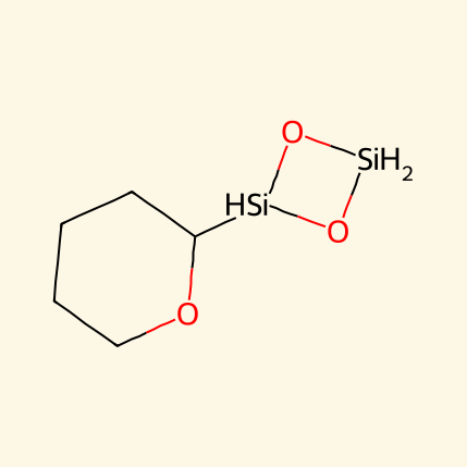 C1CCC([SiH]2O[SiH2]O2)OC1